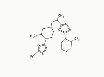 CC(C)c1ncc(C2CCC(CC(C)c3ncc(C4CCCCC4C(F)(F)F)s3)CC2C)s1